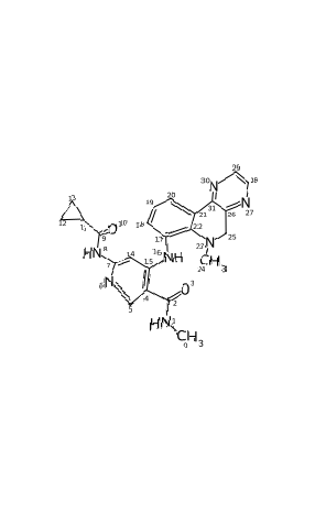 CNC(=O)c1cnc(NC(=O)C2CC2)cc1Nc1cccc2c1N(C)Cc1nccnc1-2